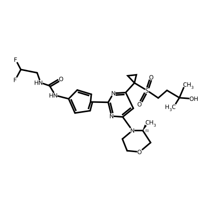 C[C@H]1COCCN1c1cc(C2(S(=O)(=O)CCC(C)(C)O)CC2)nc(-c2ccc(NC(=O)NCC(F)F)cc2)n1